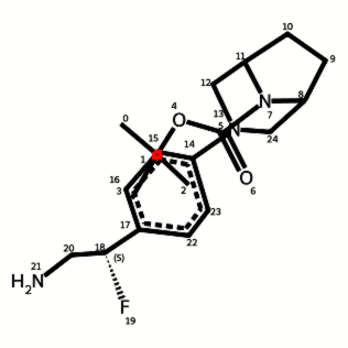 CC(C)(C)OC(=O)N1C2CCC1CN(c1ccc([C@H](F)CN)cc1)C2